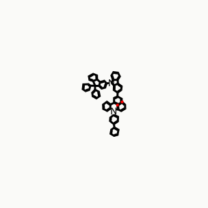 c1ccc(-c2ccc(N(c3ccccc3)c3ccccc3-c3cccc(-c4ccc5c6ccccc6n(-c6ccc7c(c6)-c6ccccc6C7(c6ccccc6)c6ccccc6)c5c4)c3)cc2)cc1